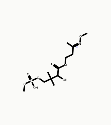 CO/N=C(\C)CCNC(=O)C(O)C(C)(C)COP(=O)(O)OC